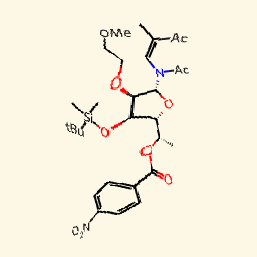 COCCO[C@@H]1[C@H](O[Si](C)(C)C(C)(C)C)[C@@H]([C@H](C)OC(=O)c2ccc([N+](=O)[O-])cc2)O[C@H]1N(/C=C(/C)C(C)=O)C(C)=O